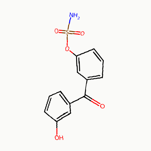 NS(=O)(=O)Oc1cccc(C(=O)c2cccc(O)c2)c1